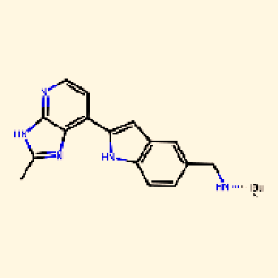 CC[C@@H](C)NCc1ccc2[nH]c(-c3ccnc4[nH]c(C)nc34)cc2c1